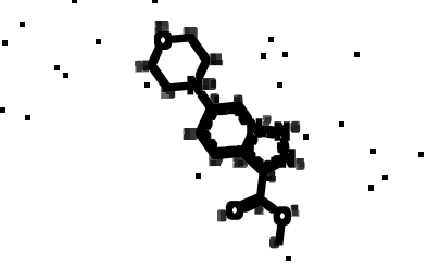 COC(=O)c1nnn2cc(N3CCOCC3)ccc12